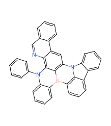 c1ccc(N2c3ccccc3B3c4c(cc5c(ncc6ccccc65)c42)-n2c4ccccc4c4cccc3c42)cc1